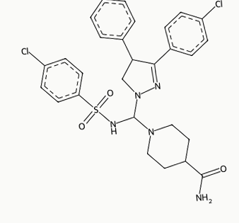 NC(=O)C1CCN(C(NS(=O)(=O)c2ccc(Cl)cc2)N2CC(c3ccccc3)C(c3ccc(Cl)cc3)=N2)CC1